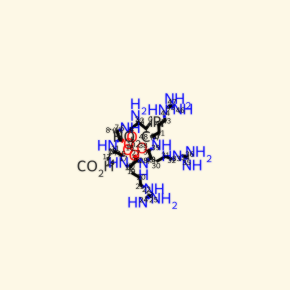 CC(C)C[C@H](N)C(=O)N[C@@H](C)C(=O)N[C@@H](CC(=O)O)C(=O)N[C@@H](CCCNC(=N)N)C(=O)N[C@@H](CCCNC(=N)N)C(=O)N[C@@H](CCCNC(=N)N)C(=O)O